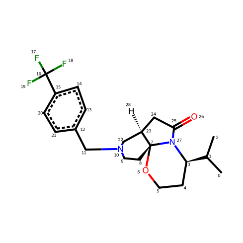 CC(C)[C@H]1CCO[C@]23CCN(Cc4ccc(C(F)(F)F)cc4)C[C@H]2CC(=O)N13